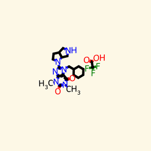 Cn1c(=O)c2c(nc(N3CCC4CNCC43)n2CC2CCCCC2)n(C)c1=O.O=C(O)C(F)(F)F